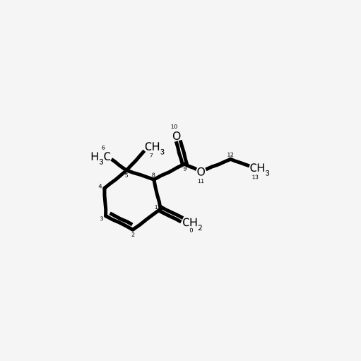 C=C1C=CCC(C)(C)C1C(=O)OCC